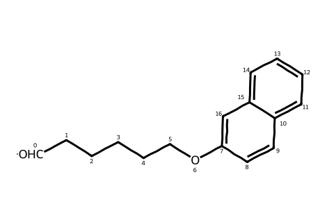 O=[C]CCCCCOc1ccc2ccccc2c1